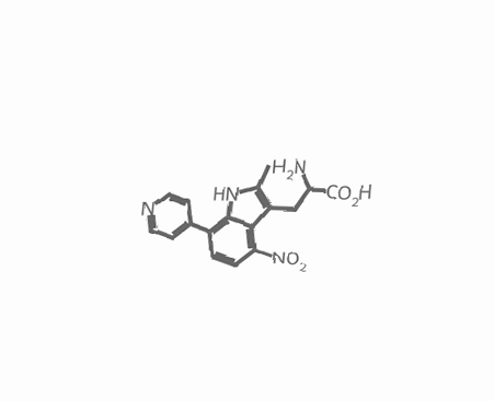 Cc1[nH]c2c(-c3ccncc3)ccc([N+](=O)[O-])c2c1CC(N)C(=O)O